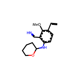 C=Cc1ccc(NC2CCCCO2)c(C=N)c1OC